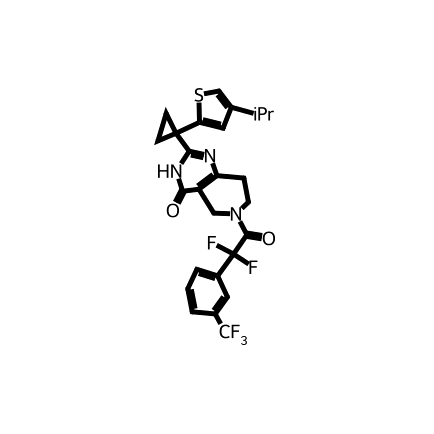 CC(C)c1csc(C2(c3nc4c(c(=O)[nH]3)CN(C(=O)C(F)(F)c3cccc(C(F)(F)F)c3)CC4)CC2)c1